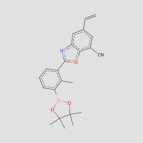 C=Cc1cc(C#N)c2oc(-c3cccc(B4OC(C)(C)C(C)(C)O4)c3C)nc2c1